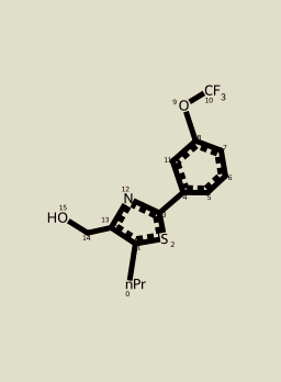 CCCc1sc(-c2cccc(OC(F)(F)F)c2)nc1CO